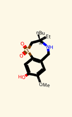 CCCC[C@]1(CC)CS(=O)(=O)c2cc(O)c(OC)cc2CN1